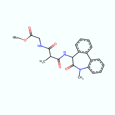 CC(C(=O)NCC(=O)OC(C)(C)C)C(=O)NC1C(=O)N(C)c2ccccc2-c2ccccc21